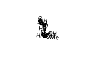 COC1=CC=C2NC=C(F)C(CCCNC[C@@H]3CN(c4ccc5c(c4)NC(=O)CS5)C(=O)O3)=C2N1CC(O)CO